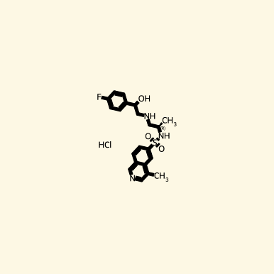 Cc1cncc2ccc(S(=O)(=O)N[C@H](C)CNCC(O)c3ccc(F)cc3)cc12.Cl